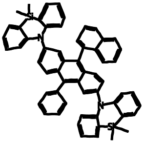 C[Si]1(C)c2ccccc2N(c2ccc3c(-c4cccc5ccccc45)c4cc(N5c6ccccc6[Si](C)(C)c6ccccc65)ccc4c(-c4ccccc4)c3c2)c2ccccc21